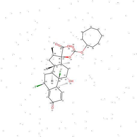 C[C@@H]1C[C@H]2[C@@H]3C[C@H](F)C4=CC(=O)C=C[C@]4(C)[C@@]3(F)[C@@H](O)C[C@]2(C)[C@@]1(OC(=O)OC1CCCCCCC1)C(=O)O